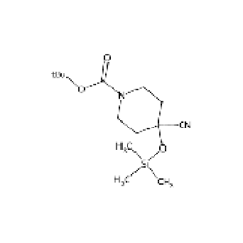 CC(C)(C)OC(=O)N1CCC(C#N)(O[Si](C)(C)C)CC1